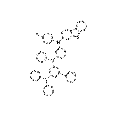 Fc1ccc(N(c2cccc(N(c3ccccc3)c3cc(-c4cccnc4)cc(N(c4ccccc4)c4ccccc4)c3)c2)c2ccc3c(c2)sc2ccccc23)cc1